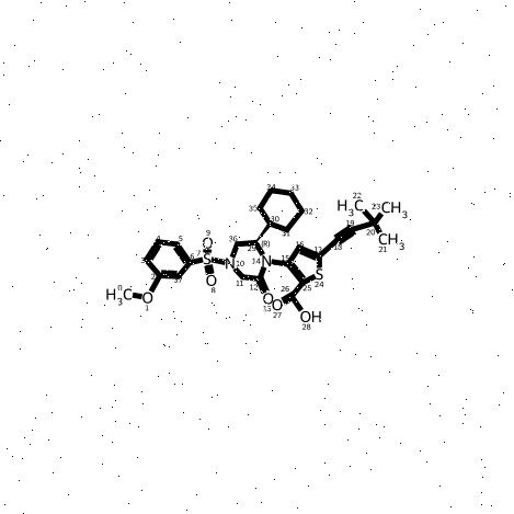 COc1cccc(S(=O)(=O)N2CC(=O)N(c3cc(C#CC(C)(C)C)sc3C(=O)O)[C@H](C3CCCCC3)C2)c1